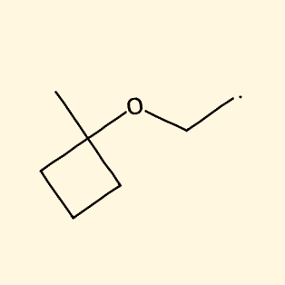 [CH2]COC1(C)CCC1